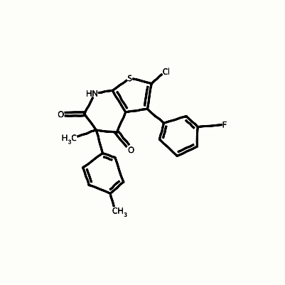 Cc1ccc(C2(C)C(=O)Nc3sc(Cl)c(-c4cccc(F)c4)c3C2=O)cc1